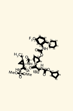 C=C[C@@H]1C[C@]1(NC(=O)[C@@H]1C[C@@H](OC(=O)Nc2cc(C(F)(F)F)ccc2N2CCCCC2)CN1C(=O)[C@@H](NC(=O)OC1CCCC1)C(C)(C)C)C(=O)NP(=O)(OC)OC